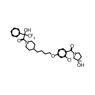 O=C(c1ccc(OCCCCC2CCN(C(=O)C(O)(c3ccccc3)C(F)(F)F)CC2)cc1Cl)N1CC[C@@H](O)C1